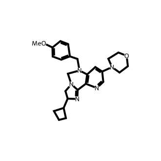 COc1ccc(CN2CN3CC(C4CCC4)N=C3c3ncc(N4CCOCC4)cc32)cc1